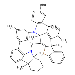 CCCCc1ccc2c(c1)C1(C)C=CC(C)C3=C1C1(C)C(=C4Sc5ccccc5C43C)B3c4c(cc(C)cc4N21)-c1cccc2c1N3C1(C)CCCCC21C